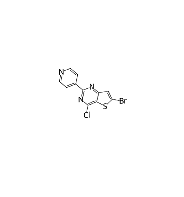 Clc1nc(-c2ccncc2)nc2cc(Br)sc12